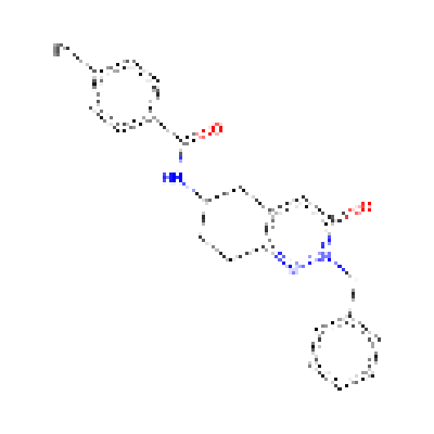 CC(C)c1ccc(C(=O)NC2CCc3nn(Cc4ccccc4)c(=O)cc3C2)cc1